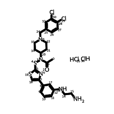 CC(=O)N(Sc1nc(-c2cccc(NCCN)c2)cs1)C1CCN(Cc2ccc(Cl)c(Cl)c2)CC1.Cl.Cl